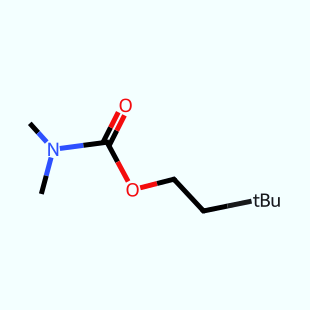 CN(C)C(=O)OCCC(C)(C)C